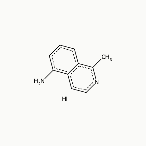 Cc1nccc2c(N)cccc12.I